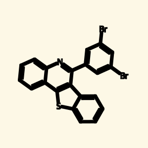 Brc1cc(Br)cc(-c2nc3ccccc3c3sc4ccccc4c23)c1